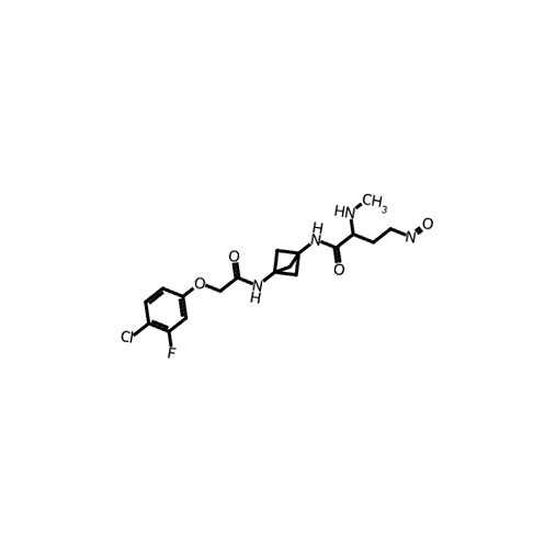 CNC(CCN=O)C(=O)NC12CC(NC(=O)COc3ccc(Cl)c(F)c3)(C1)C2